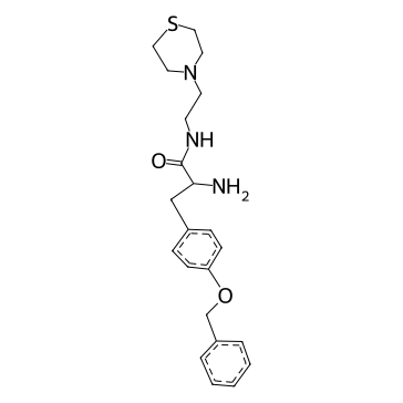 NC(Cc1ccc(OCc2ccccc2)cc1)C(=O)NCCN1CCSCC1